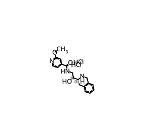 COc1cc(C(=O)NC[C@@H](O)[C@@H]2Cc3ccccc3CN2)ccn1.Cl.Cl